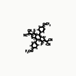 N#CC(C#N)=c1sc2c(-c3ccc(OC(F)(F)F)cc3)c3c(F)c(=C(C#N)C#N)sc3c(-c3ccc(OC(F)(F)F)cc3)c2c1F